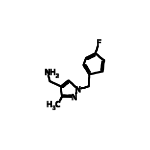 Cc1nn(Cc2ccc(F)cc2)cc1CN